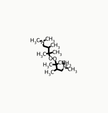 CC(CN(C)C)C(C)(C)OOC(C)(C)C(C)CN(C)C